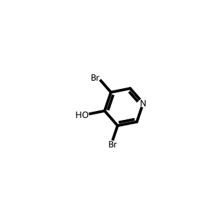 Oc1c(Br)cncc1Br